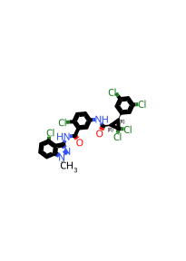 Cn1nc(NC(=O)c2cc(NC(=O)[C@H]3[C@H](c4cc(Cl)cc(Cl)c4)C3(Cl)Cl)ccc2Cl)c2c(Cl)cccc21